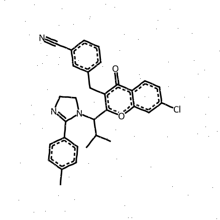 Cc1ccc(C2=NCCN2C(c2oc3cc(Cl)ccc3c(=O)c2Cc2cccc(C#N)c2)C(C)C)cc1